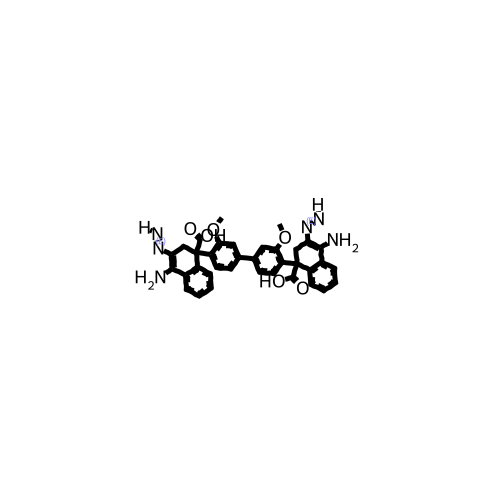 [H]/N=N/C1=C(N)c2ccccc2C(C(=O)O)(c2ccc(-c3ccc(C4(C(=O)O)CC(/N=N/[H])=C(N)c5ccccc54)c(OC)c3)cc2OC)C1